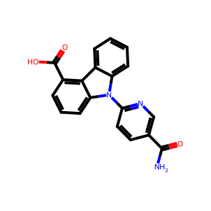 NC(=O)c1ccc(-n2c3ccccc3c3c(C(=O)O)cccc32)nc1